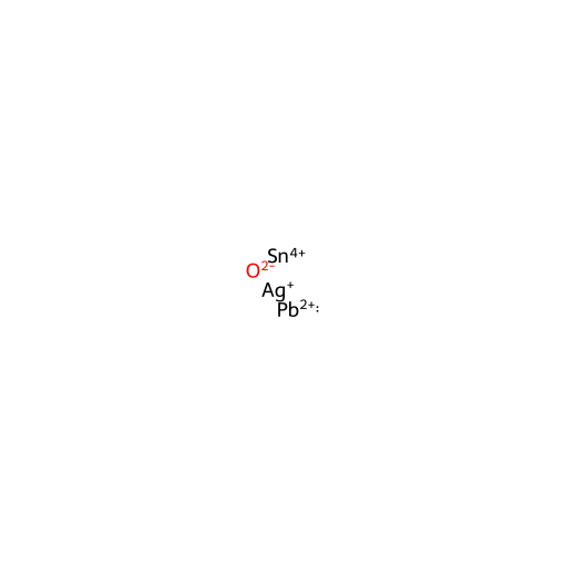 [Ag+].[O-2].[Pb+2].[Sn+4]